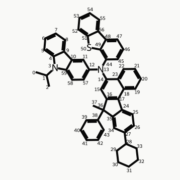 CC(C)n1c2ccccc2c2cc(N(c3cc4c(c5ccccc35)-c3ccc(C5CCCCC5)cc3C4(C)c3ccccc3)c3cccc4c3sc3ccccc34)ccc21